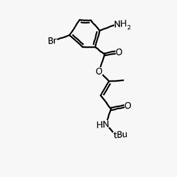 C/C(=C\C(=O)NC(C)(C)C)OC(=O)c1cc(Br)ccc1N